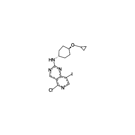 Clc1ncc(I)c2nc(N[C@H]3CC[C@H](OC4CC4)CC3)ncc12